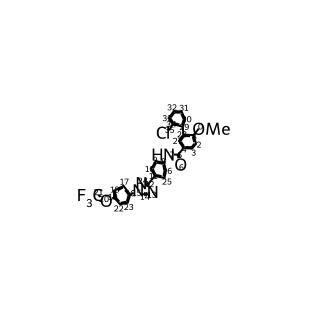 COc1ccc(C(=O)Nc2ccc(-c3ncn(-c4ccc(OC(F)(F)F)cc4)n3)cc2)cc1-c1ccccc1Cl